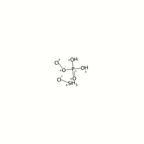 O=P(O)(O)OCl.[SiH3]Cl